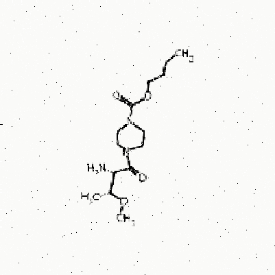 CCCCOC(=O)N1CCN(C(=O)[C@@H](N)[C@@H](C)OC)CC1